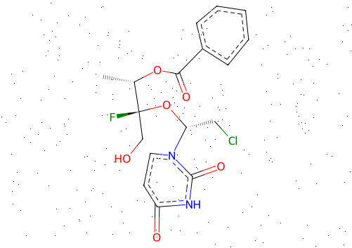 C[C@H](OC(=O)c1ccccc1)[C@@](F)(CO)O[C@H](CCl)n1ccc(=O)[nH]c1=O